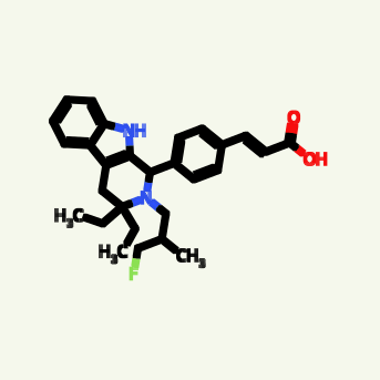 CCC1(CC)Cc2c([nH]c3ccccc23)C(c2ccc(C=CC(=O)O)cc2)N1CC(C)CF